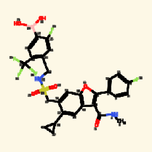 CNC(=O)c1c(-c2ccc(F)cc2)oc2cc(CS(=O)(=O)NCc3cc(F)c(B(O)O)cc3C(F)(F)F)c(C3CC3)cc12